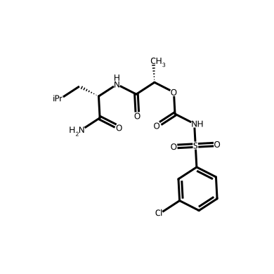 CC(C)C[C@H](NC(=O)[C@H](C)OC(=O)NS(=O)(=O)c1cccc(Cl)c1)C(N)=O